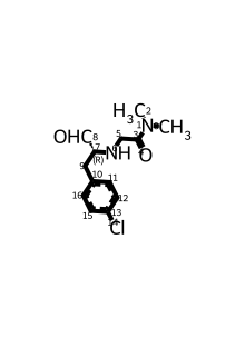 CN(C)C(=O)CN[C@@H](C=O)Cc1ccc(Cl)cc1